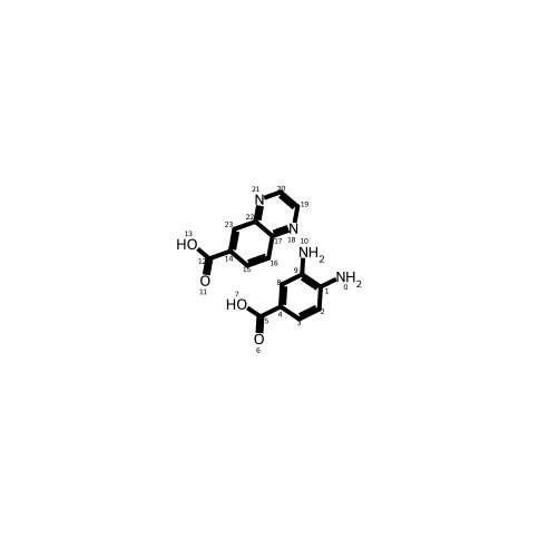 Nc1ccc(C(=O)O)cc1N.O=C(O)c1ccc2nccnc2c1